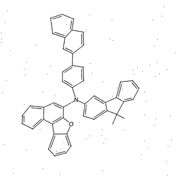 CC1(C)c2ccccc2-c2cc(N(c3ccc(-c4ccc5ccccc5c4)cc3)c3cc4ccccc4c4c3oc3ccccc34)ccc21